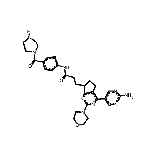 CCN1CCN(C(=O)c2ccc(NC(=O)CCC3CCc4c(-c5cnc(N)nc5)nc(N5CCOCC5)nc43)cc2)CC1